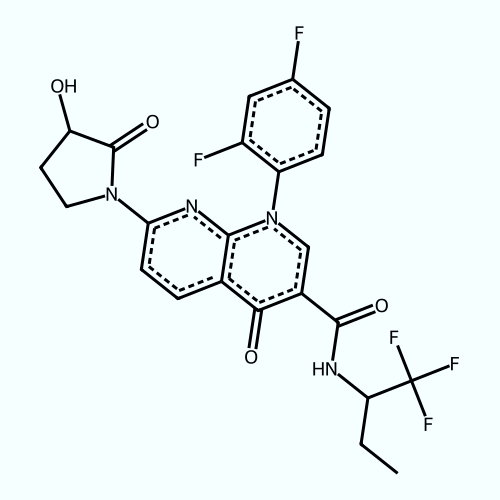 CCC(NC(=O)c1cn(-c2ccc(F)cc2F)c2nc(N3CCC(O)C3=O)ccc2c1=O)C(F)(F)F